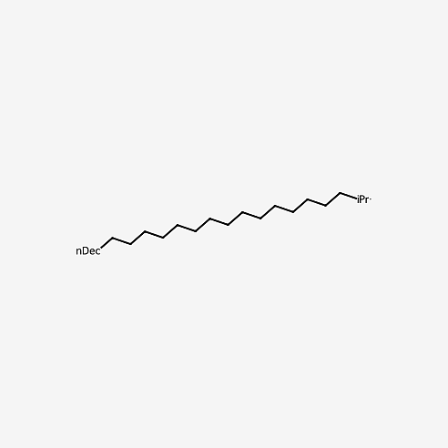 CCCCCCCCCCCCCCCCCCCCCCCCC[C](C)C